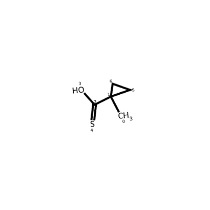 CC1(C(O)=S)CC1